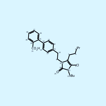 CCCCn1c(Cl)c(CCC(C)C)n(CCc2ccc(-c3ccccc3C(=O)O)cc2)c1=O